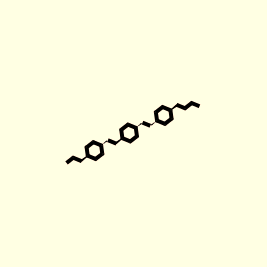 CCCC[C@H]1CC[C@H](CC[C@H]2CC[C@H](CC[C@H]3CC[C@H](CCC)CC3)CC2)CC1